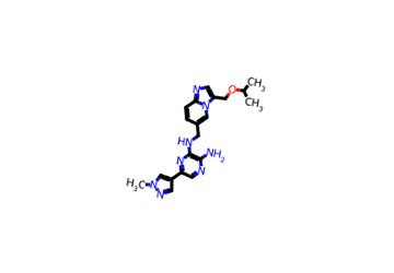 CC(C)OCc1cnc2ccc(CNc3nc(-c4cnn(C)c4)cnc3N)cn12